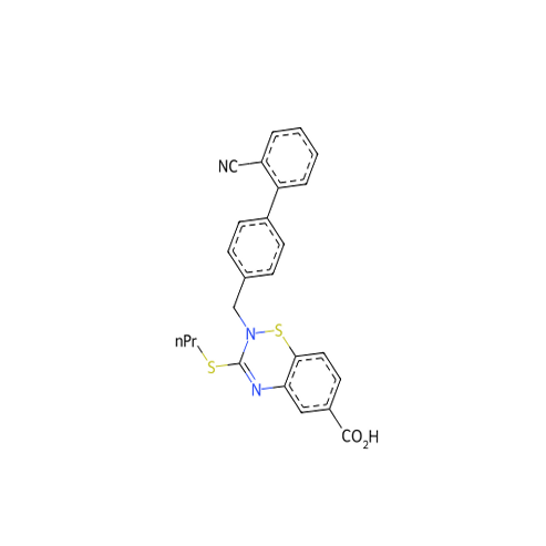 CCCSC1=Nc2cc(C(=O)O)ccc2SN1Cc1ccc(-c2ccccc2C#N)cc1